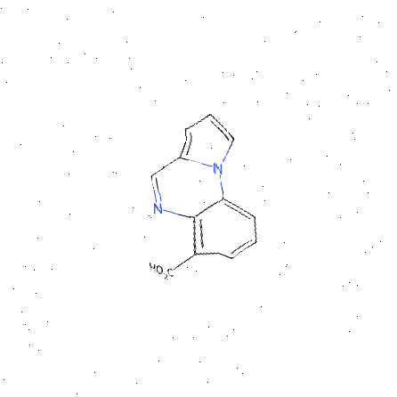 O=C(O)c1cccc2c1ncc1cccn12